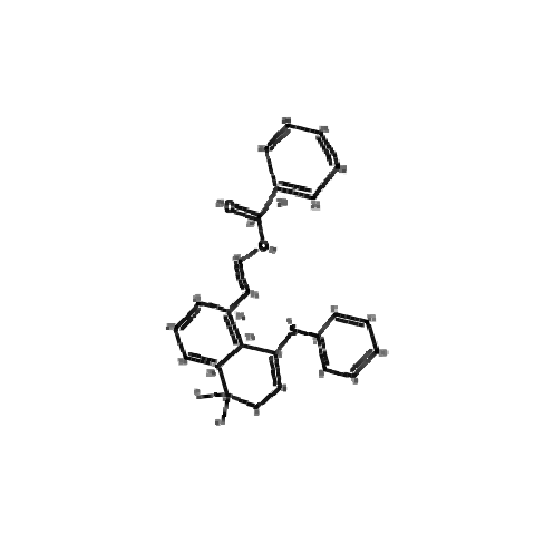 CC1(C)CC=C(Sc2ccccc2)c2c(/C=C/OC(=O)c3ccccc3)cccc21